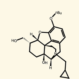 CCCCOc1ccc2c3c1O[C@H]1[C@@H](CO)CC[C@@]4(O)[C@@H](C2)N(CC2CC2)CC[C@]314